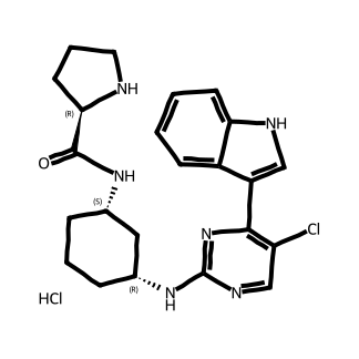 Cl.O=C(N[C@H]1CCC[C@@H](Nc2ncc(Cl)c(-c3c[nH]c4ccccc34)n2)C1)[C@H]1CCCN1